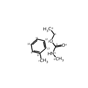 CCOC(=O)NC.Cc1ccccc1